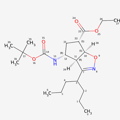 CCCC(CCC)C1=NO[C@H]2[C@@H]1[C@H](NC(=O)OC(C)(C)C)C[C@@H]2C(=O)OCC